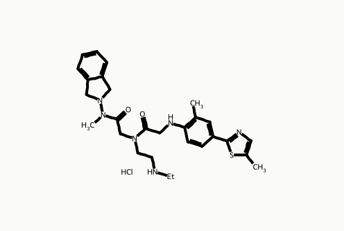 CCNCCN(CC(=O)N(C)N1Cc2ccccc2C1)C(=O)CNc1ccc(-c2ncc(C)s2)cc1C.Cl